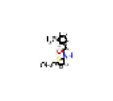 Cc1cccc(CC(=O)Nc2ccc(C=O)s2)c1